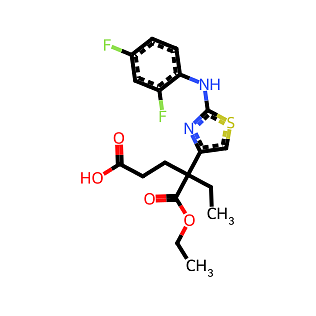 CCOC(=O)C(CC)(CCC(=O)O)c1csc(Nc2ccc(F)cc2F)n1